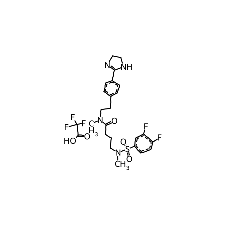 CN(CCc1ccc(C2=NCCN2)cc1)C(=O)CCCN(C)S(=O)(=O)c1ccc(F)c(F)c1.O=C(O)C(F)(F)F